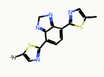 [2H]c1cnc(-c2ccc(-c3ncc(C)s3)c3c2=NCN=3)s1